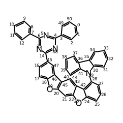 c1ccc(-c2nc(-c3ccccc3)nc(-c3ccc4oc5cc6oc7cccc(-n8c9ccccc9c9ccccc98)c7c6cc5c4c3)n2)cc1